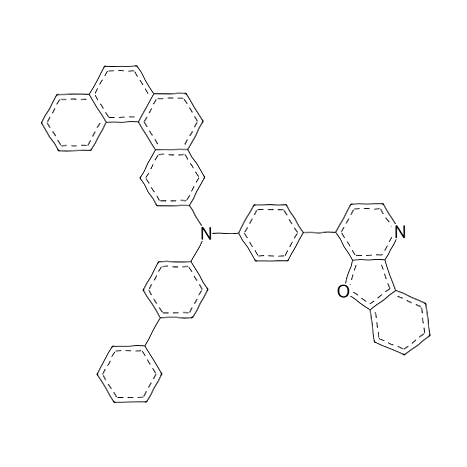 c1ccc(-c2ccc(N(c3ccc(-c4ccnc5c4oc4ccccc45)cc3)c3ccc4c(ccc5ccc6ccccc6c54)c3)cc2)cc1